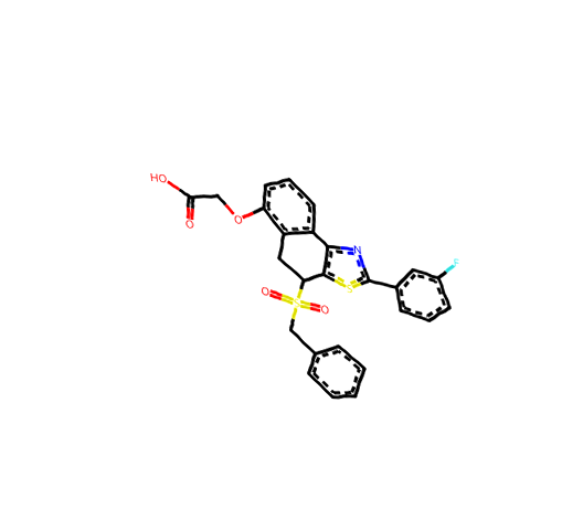 O=C(O)COc1cccc2c1CC(S(=O)(=O)Cc1ccccc1)c1sc(-c3cccc(F)c3)nc1-2